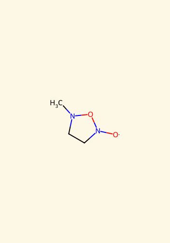 CN1CCN([O])O1